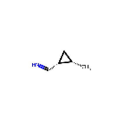 C[C@H]1C[C@H]1C=N